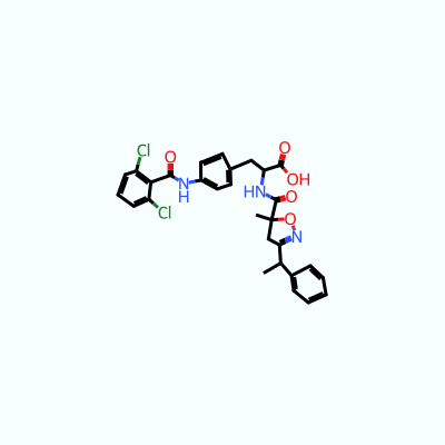 CC(C1=NOC(C)(C(=O)NC(Cc2ccc(NC(=O)c3c(Cl)cccc3Cl)cc2)C(=O)O)C1)c1ccccc1